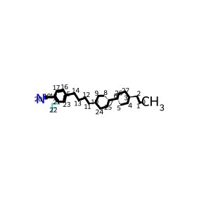 CCC[C@H]1CC[C@H]([C@H]2CC[C@H](CCCCc3ccc(C#N)c(F)c3)CC2)CC1